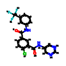 O=C(Nc1cccc(C(F)(F)F)c1)c1ccc(Cl)c(C(=O)Nc2cncnc2)c1